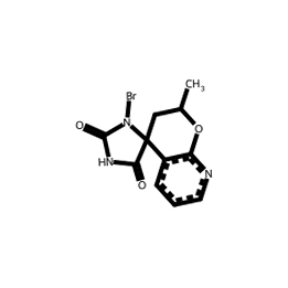 CC1CC2(C(=O)NC(=O)N2Br)c2cccnc2O1